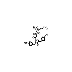 CN(CCCN)CC(=O)NCC(=O)N1C/C(=C\c2ccc(C#N)cc2)C(=O)C(Cc2ccc(C#N)cc2)C1